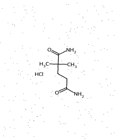 CC(C)(CCC(N)=O)C(N)=O.Cl